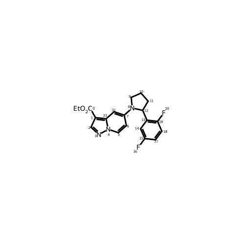 CCOC(=O)c1cnn2ccc(N3CCCC3c3cc(F)ccc3F)cc12